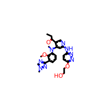 CCC(=O)c1cnc(Nc2ccc(OCCO)nn2)cc1N(C)c1cccc(-c2ncn(C)n2)c1OC